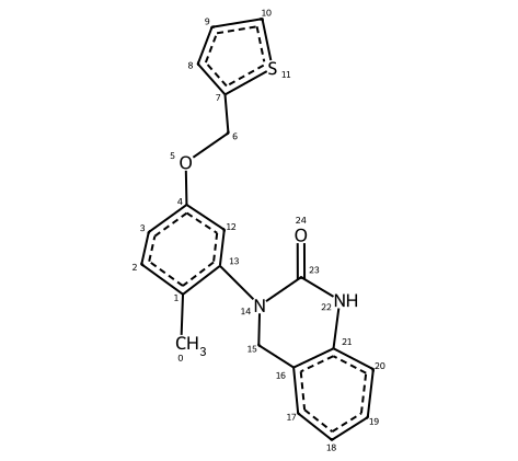 Cc1ccc(OCc2cccs2)cc1N1Cc2ccccc2NC1=O